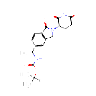 C[C@@H](NC(=O)OC(C)(C)C)c1ccc2c(c1)CN(C1CCC(=O)NC1=O)C2=O